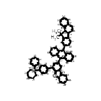 CC1(C)c2cc(-c3c4ccccc4c(-c4cc(-c5ccc([Si]6(c7ccccc7)CCCCC6)cc5)c5oc6ccccc6c5c4)c4ccccc34)ccc2-c2ccc3ccccc3c21